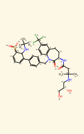 CC(C)(C)NC1C(c2ccc(CN3C(=O)[C@H](NC(=O)CC(C)(C)NC[C@H](O)CO)CCc4cc(C(F)(F)F)ccc43)cc2)=CC=CC1=S(=O)=O